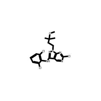 COC(C)(C)CCn1nc(Nc2c(Cl)cccc2Cl)c2cnc(Cl)nc21